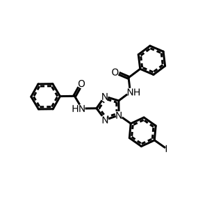 O=C(Nc1nc(NC(=O)c2ccccc2)n(-c2ccc(I)cc2)n1)c1ccccc1